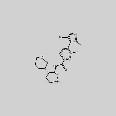 Cc1nc(C(=O)N[C@H]2CNCC[C@@H]2C2CCCNC2)ccc1-c1c(Br)cnn1C